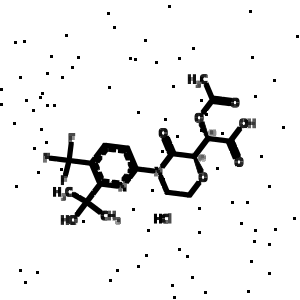 CC(=O)O[C@@H](C(=O)O)[C@H]1OCCN(c2ccc(C(F)(F)F)c(C(C)(C)O)n2)C1=O.Cl